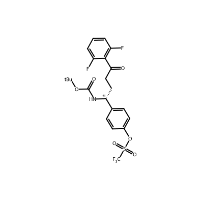 CC(C)(C)OC(=O)N[C@H](CCC(=O)c1c(F)cccc1F)c1ccc(OS(=O)(=O)C(F)(F)F)cc1